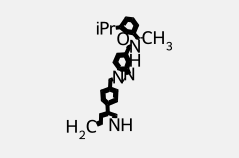 C=C/C=C(\C=N)c1ccc(Cn2cnc3cc(C(=O)N[C@@H](C)c4cccc(C(C)C)c4)ccc32)cc1